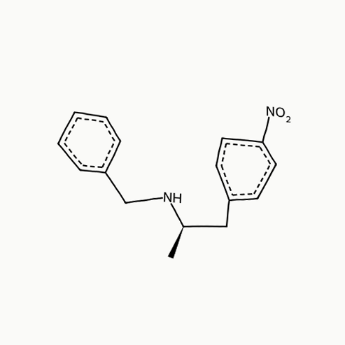 C[C@H](Cc1ccc([N+](=O)[O-])cc1)NCc1ccccc1